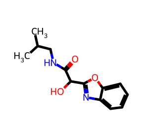 CC(C)CNC(=O)C(O)c1nc2ccccc2o1